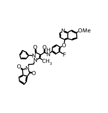 COc1ccc2c(Oc3ccc(NC(=O)c4c(C)n(CCN5C(=O)c6ccccc6C5=O)n(-c5ccccc5)c4=O)cc3F)ccnc2c1